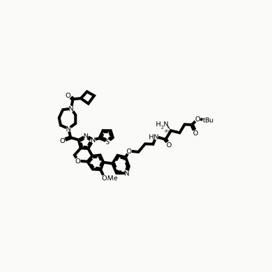 COc1cc2c(cc1-c1cncc(OCCCNC(=O)[C@H](N)CCC(=O)OC(C)(C)C)c1)-c1c(c(C(=O)N3CCCN(C(=O)C4CCC4)CC3)nn1-c1cccs1)CO2